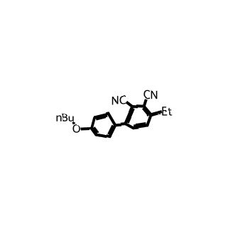 CCCCOc1ccc(-c2ccc(CC)c(C#N)c2C#N)cc1